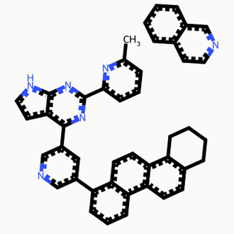 Cc1cccc(-c2nc(-c3cncc(-c4cccc5c4ccc4c6c(ccc45)CCCC6)c3)c3cc[nH]c3n2)n1.c1ccc2cnccc2c1